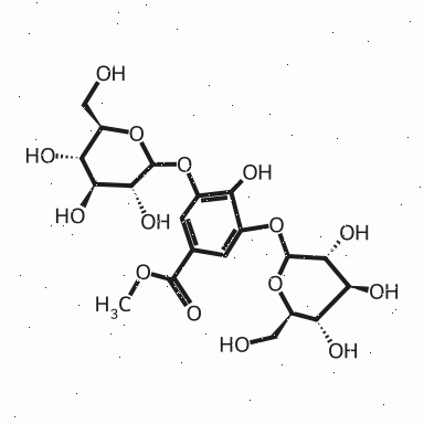 COC(=O)c1cc(OC2O[C@H](CO)[C@@H](O)[C@H](O)[C@H]2O)c(O)c(OC2O[C@H](CO)[C@@H](O)[C@H](O)[C@H]2O)c1